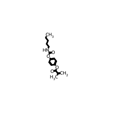 C=C(C)C(=O)Oc1ccc(OC(=O)NCCCCC)cc1